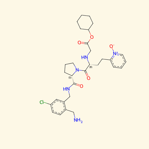 NCc1ccc(Cl)cc1CNC(=O)[C@@H]1CCCN1C(=O)[C@@H](CCc1cccc[n+]1[O-])NCC(=O)OC1CCCCC1